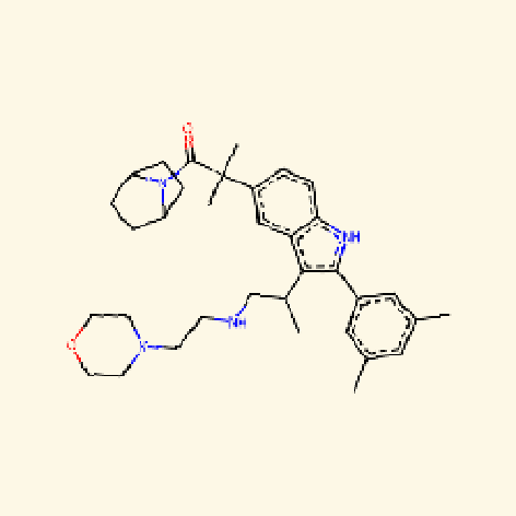 Cc1cc(C)cc(-c2[nH]c3ccc(C(C)(C)C(=O)N4C5CCC4CC5)cc3c2C(C)CNCCN2CCOCC2)c1